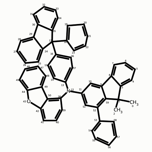 CC1(C)c2ccccc2-c2cc(N(c3ccc(C4(c5ccccc5)c5ccccc5-c5ccccc54)cc3)c3cccc4oc5ccccc5c34)cc(-c3ccccc3)c21